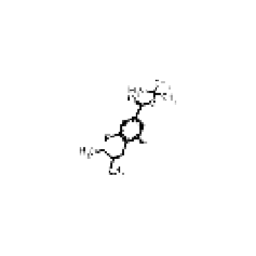 CCC(C)Cc1c(F)cc(C(=O)OC(C)(C)C)cc1F